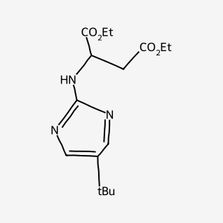 CCOC(=O)CC(Nc1ncc(C(C)(C)C)cn1)C(=O)OCC